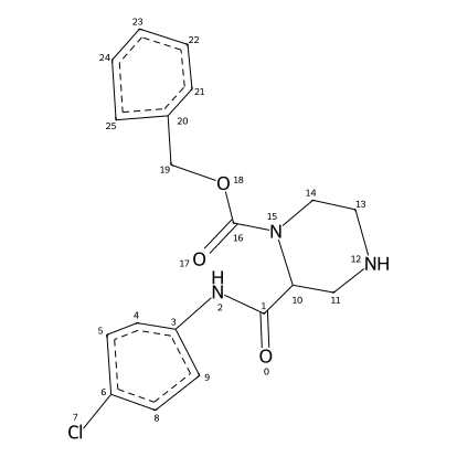 O=C(Nc1ccc(Cl)cc1)C1CNCCN1C(=O)OCc1ccccc1